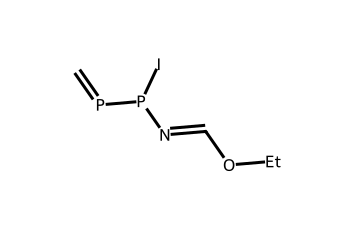 C=PP(I)N=COCC